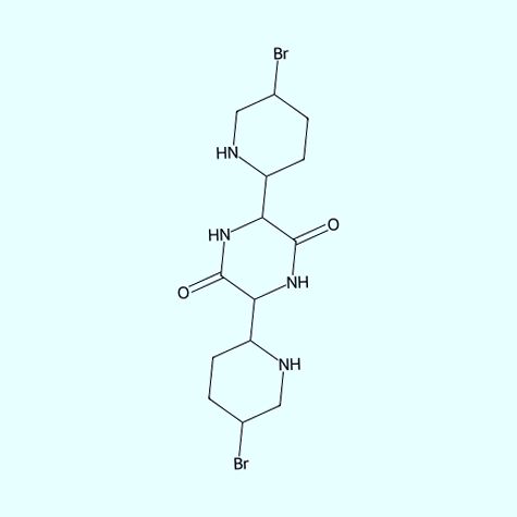 O=C1NC(C2CCC(Br)CN2)C(=O)NC1C1CCC(Br)CN1